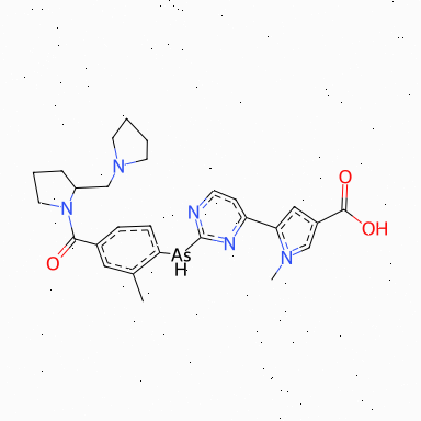 Cc1cc(C(=O)N2CCCC2CN2CCCC2)ccc1[AsH]c1nccc(-c2cc(C(=O)O)cn2C)n1